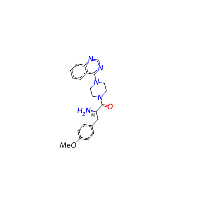 COc1ccc(C[C@@H](N)C(=O)N2CCN(c3ncnc4ccccc34)CC2)cc1